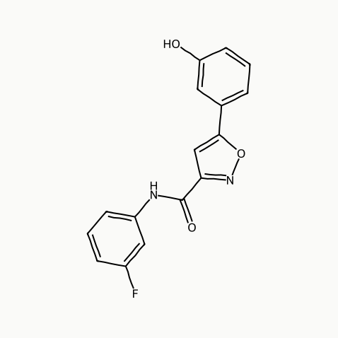 O=C(Nc1cccc(F)c1)c1cc(-c2cccc(O)c2)on1